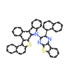 c1ccc2c(-c3nc4c(nc3-n3c5ccccc5c5c6ccccc6c6c(sc7ccc8ccccc8c76)c53)sc3ccccc34)cccc2c1